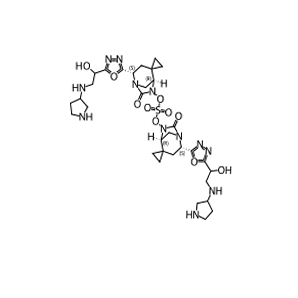 O=C1N2C[C@H](N1OS(=O)(=O)ON1C(=O)N3C[C@H]1C1(CC1)C[C@H]3c1nnc(C(O)CNC3CCNC3)o1)C1(CC1)C[C@H]2c1nnc(C(O)CNC2CCNC2)o1